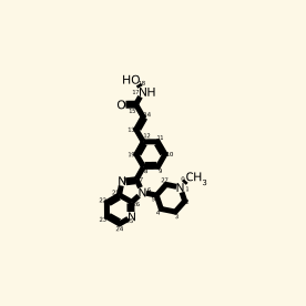 CN1CCCC(n2c(-c3cccc(C=CC(=O)NO)c3)nc3cccnc32)C1